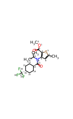 COC(=O)c1sc(C)cc1N(C(=O)[C@H]1CC[C@H](C(F)(F)F)CC1)C(C)C